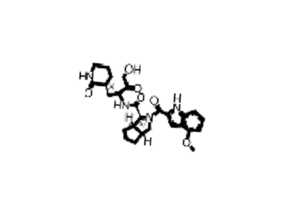 COc1cccc2[nH]c(C(=O)N3C[C@@H]4CCC[C@@H]4[C@H]3C(=O)NC(C[C@@H]3CCCNC3=O)C(=O)CO)cc12